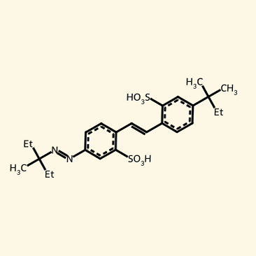 CCC(C)(CC)N=Nc1ccc(C=Cc2ccc(C(C)(C)CC)cc2S(=O)(=O)O)c(S(=O)(=O)O)c1